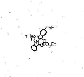 CCCCCCc1c2ccc(CS)ccc-2c(OC(=O)OCC)c1N1C(=O)c2ccccc2C1=O